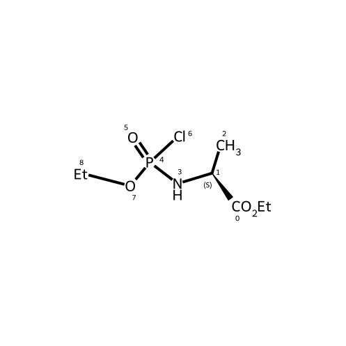 CCOC(=O)[C@H](C)NP(=O)(Cl)OCC